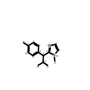 Cc1ccc(C(c2nccn2C)C(C)C)cc1